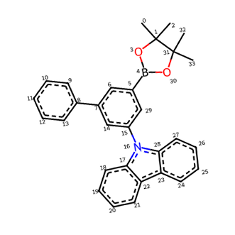 CC1(C)OB(c2cc(-c3ccccc3)cc(-n3c4ccccc4c4ccccc43)c2)OC1(C)C